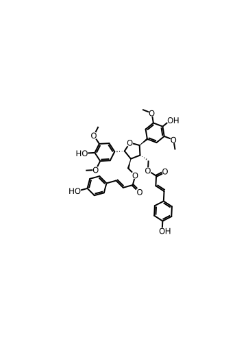 COc1cc([C@@H]2O[C@@H](c3cc(OC)c(O)c(OC)c3)[C@H](COC(=O)/C=C/c3ccc(O)cc3)[C@H]2COC(=O)/C=C/c2ccc(O)cc2)cc(OC)c1O